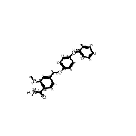 COc1cc(COc2ccc(Oc3ccccc3)cc2)ccc1C(N)=O